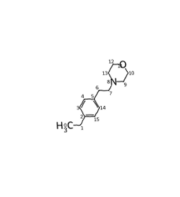 CCc1ccc(CCN2CCOCC2)cc1